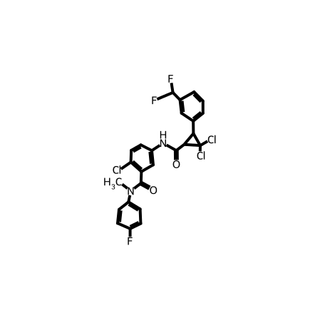 CN(C(=O)c1cc(NC(=O)C2C(c3cccc(C(F)F)c3)C2(Cl)Cl)ccc1Cl)c1ccc(F)cc1